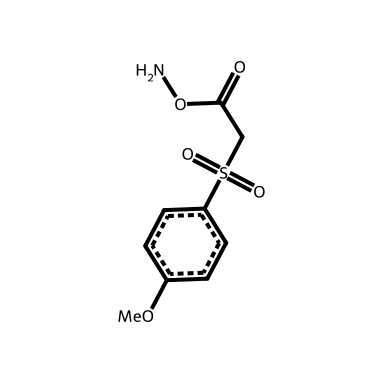 COc1ccc(S(=O)(=O)CC(=O)ON)cc1